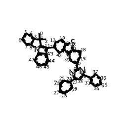 CC1(C)c2ccccc2-n2c1c(-c1ccc3sc4ccc(-c5nc(-c6ccccc6)cc(-c6ccccc6)n5)cc4c3c1)c1ccccc12